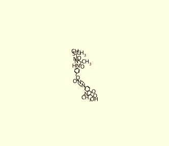 CCn1cc(C(=O)O)c(=O)c2ccc(N3CCN(C(=O)OCc4ccc(NC(=O)C(C)c5nnc(C(C)SC)o5)cc4)CC3)cc21